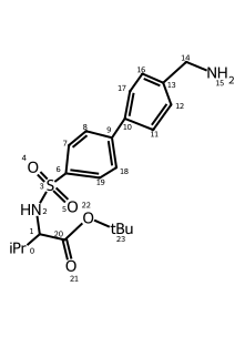 CC(C)C(NS(=O)(=O)c1ccc(-c2ccc(CN)cc2)cc1)C(=O)OC(C)(C)C